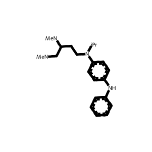 CNCC(CCN(c1ccc(Nc2ccccc2)cc1)C(C)C)NC